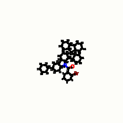 O=C(c1ccccc1Br)n1c2ccc(-c3ccccc3)cc2c2ccc3c(c21)-c1ccccc1C31c2ccccc2-c2ccccc21